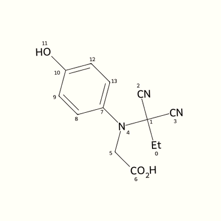 CCC(C#N)(C#N)N(CC(=O)O)c1ccc(O)cc1